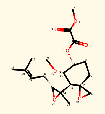 COC(=O)C(=O)O[C@@H]1CC[C@]2(CO2)[C@@H](C2(C)O[C@@H]2CC=C(C)C)[C@@H]1OC